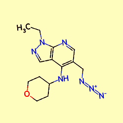 CCn1ncc2c(NC3CCOCC3)c(CN=[N+]=[N-])cnc21